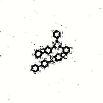 c1ccc(-c2ccc(-c3nc4cc5c(cc4s3)oc3cccc(-c4nc(-c6ccccc6)nc(-c6ccc7c(c6)oc6ccccc67)n4)c35)cc2)cc1